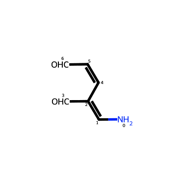 N/C=C(C=O)\C=C/C=O